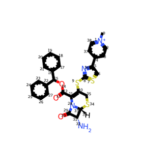 C[n+]1ccc(-c2csc(SC3=C(C(=O)OC(c4ccccc4)c4ccccc4)N4C(=O)[C@@H](N)[C@H]4SC3)n2)cc1